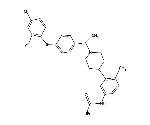 Cc1ccc(NC(=O)C(C)C)cc1C1CCN(C(C)c2ccc(Sc3ccc(Cl)cc3Cl)cc2)CC1